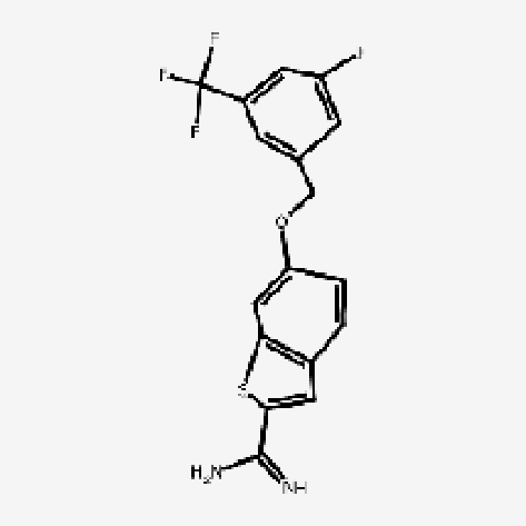 N=C(N)c1cc2ccc(OCc3cc(F)cc(C(F)(F)F)c3)cc2s1